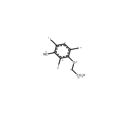 N#Cc1c(I)cc(I)c(OCC(=O)O)c1I